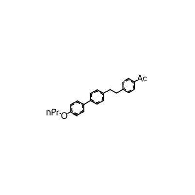 CCCOc1ccc(-c2ccc(CCc3ccc(C(C)=O)cc3)cc2)cc1